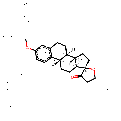 COc1ccc2c(c1)CC[C@@H]1[C@@H]2CC[C@@]2(C)[C@H]1CC[C@]21OCCC1=O